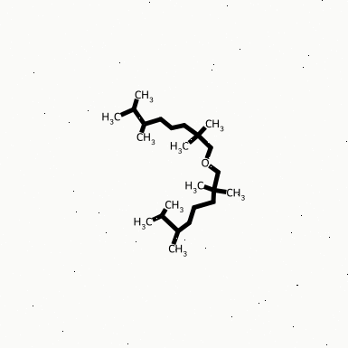 CC(C)C(C)CCCC(C)(C)COCC(C)(C)CCCC(C)C(C)C